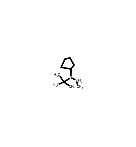 C[SiH2]N(C1CCCC1)C(C)(C)C